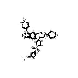 Cc1cc2c(cnn2-c2ccc(F)cc2)cc1C1(CCCc2ccccc2)CCN(S(=O)(=O)c2ccn(C)c2)C1